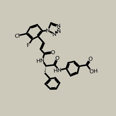 O=C(C=Cc1c(-n2cnnn2)ccc(Cl)c1F)N[C@@H](Cc1ccccc1)C(=O)Nc1ccc(C(=O)O)cc1